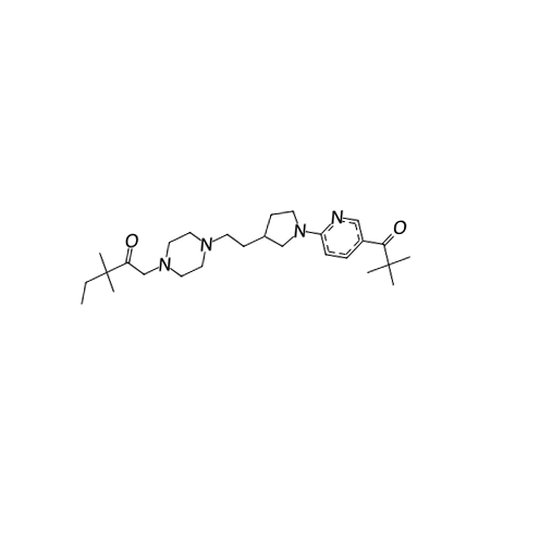 CCC(C)(C)C(=O)CN1CCN(CCC2CCN(c3ccc(C(=O)C(C)(C)C)cn3)C2)CC1